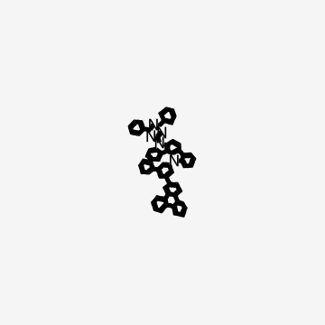 c1ccc(-c2cc(-c3ccc4c5ccccc5c5ccccc5c4c3)cc(-n3c4ccccc4c4ccc5c(c6ccccc6n5-c5nc(-c6ccccc6)nc(-c6ccccc6)n5)c43)c2)cc1